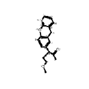 COCCC(C(C)=O)c1ccc2c(c1)Cc1cccnc1O2